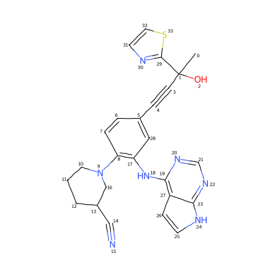 CC(O)(C#Cc1ccc(N2CCCC(C#N)C2)c(Nc2ncnc3[nH]ccc23)c1)c1nccs1